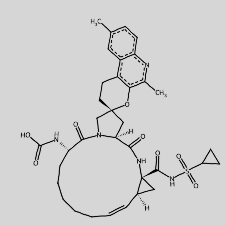 Cc1ccc2nc(C)c3c(c2c1)CC[C@]1(C[C@H]2C(=O)N[C@]4(C(=O)NS(=O)(=O)C5CC5)C[C@H]4C=CCCCCC[C@H](NC(=O)O)C(=O)N2C1)O3